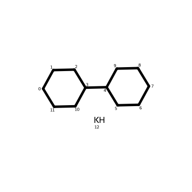 C1CCC(C2CCCCC2)CC1.[KH]